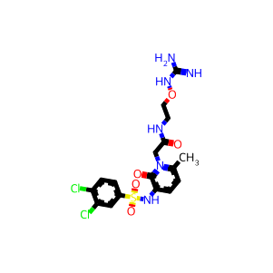 Cc1ccc(NS(=O)(=O)c2ccc(Cl)c(Cl)c2)c(=O)n1CC(=O)NCCONC(=N)N